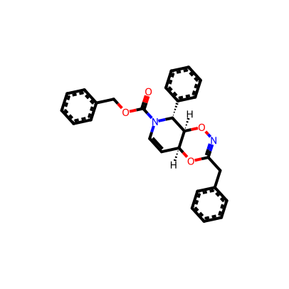 O=C(OCc1ccccc1)N1C=C[C@@H]2OC(Cc3ccccc3)=NO[C@@H]2[C@H]1c1ccccc1